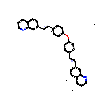 C(=C\c1ccc2cccnc2c1)/c1ccc(Oc2ccc(/C=C/c3ccc4cccnc4c3)cc2)cc1